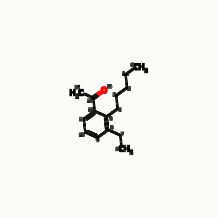 C[CH]CCCc1c(CC)cccc1C(C)=O